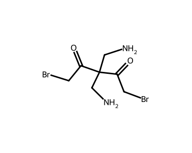 NCC(CN)(C(=O)CBr)C(=O)CBr